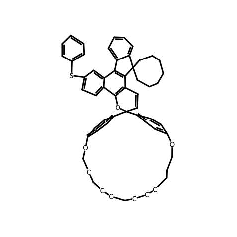 C1=CC2(Oc3c1c1c(c4cc(Sc5ccccc5)ccc34)-c3ccccc3C13CCCCCCC3)c1ccc(cc1)OCCCCCCCCCCCCOc1ccc2cc1